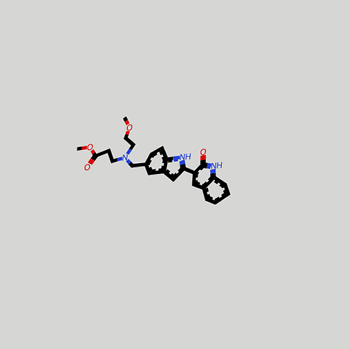 COCCN(CCC(=O)OC)Cc1ccc2[nH]c(-c3cc4ccccc4[nH]c3=O)cc2c1